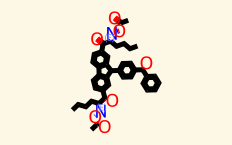 CCCC/C(=N\OC(C)=O)C(=O)c1ccc2c(c1)C(c1ccc(C(=O)c3ccccc3)cc1)c1cc(C(=O)/C(CCCC)=N/OC(C)=O)ccc1-2